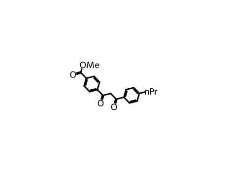 CCCc1ccc(C(=O)CC(=O)c2ccc(C(=O)OC)cc2)cc1